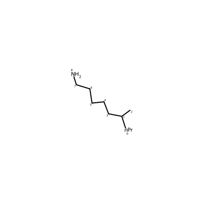 CCCC(C)CCCCCN